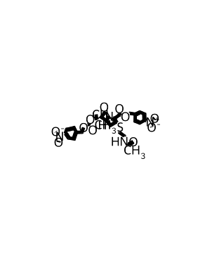 CC(=O)NCCSC1=C(C(=O)OCc2ccc([N+](=O)[O-])cc2)N2C(=O)[C@@H](C(C)(C)OC(=O)OCc3ccc([N+](=O)[O-])cc3)[C@H]2C1